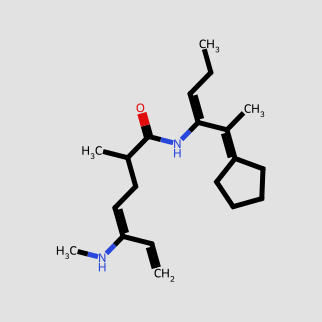 C=C/C(=C\CC(C)C(=O)N/C(=C/CC)C(C)=C1CCCC1)NC